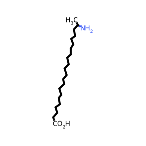 CC(N)CCCCCCCCCCCCCCCCCCCC(=O)O